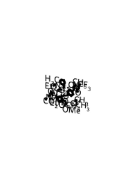 CCOCN(C(=O)CCl)c1c(C)cccc1CC.CCc1ccc(COc2ccc(-n3c(=O)cc(C(F)(F)F)n(C)c3=O)cc2)c(OC(C)C(=O)OC)c1.C[S+](C)C.O=C(O)CNCP(=O)([O-])O